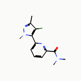 Cc1nn(C(C)C)c(-c2cccc(C(=O)N(C)C)n2)c1Cl